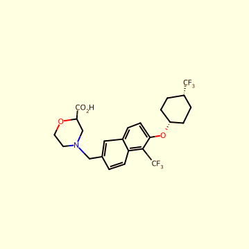 O=C(O)C1CN(Cc2ccc3c(C(F)(F)F)c(O[C@H]4CC[C@@H](C(F)(F)F)CC4)ccc3c2)CCO1